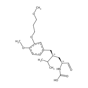 COCCCOc1cc(C[C@@H](C[C@@H](C=O)NC(=O)O)C(C)C)ccc1OC